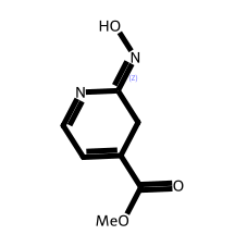 COC(=O)C1=CC=N/C(=N\O)C1